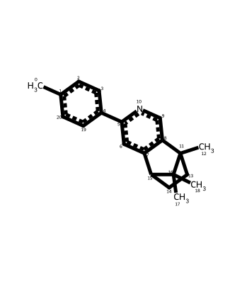 Cc1ccc(-c2cc3c(cn2)C2(C)CCC3C2(C)C)cc1